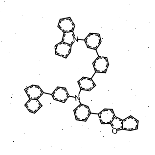 c1cc(-c2ccc(N(c3ccc(-c4cccc5ccccc45)cc3)c3cccc(-c4ccc5c(c4)oc4ccccc45)c3)cc2)cc(-c2cccc(-n3c4ccccc4c4ccccc43)c2)c1